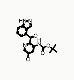 CC(C)(C)OC(=O)Nc1cc(Cl)cnc1C(=O)c1cccc2[nH]ncc12